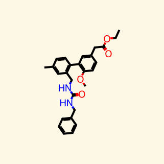 CCOC(=O)Cc1ccc(OC)c(-c2ccc(C)cc2CNC(=O)NCc2ccccc2)c1